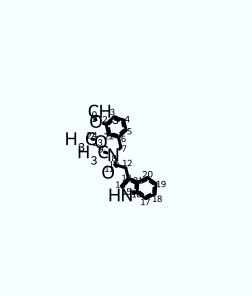 COc1cccc(CN(C)C(=O)Cc2c[nH]c3ccccc23)c1OC